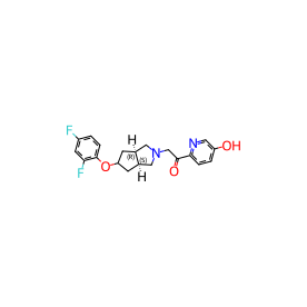 O=C(CN1C[C@H]2CC(Oc3ccc(F)cc3F)C[C@H]2C1)c1ccc(O)cn1